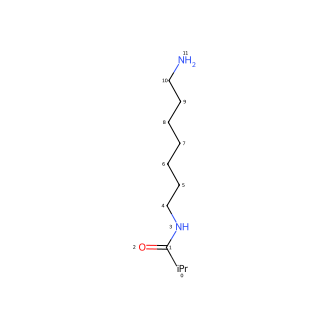 CC(C)C(=O)NCCCCCCCN